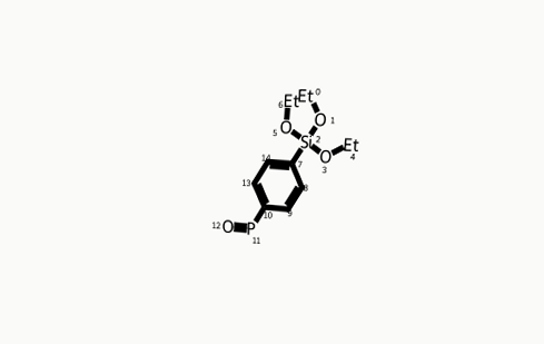 CCO[Si](OCC)(OCC)c1ccc(P=O)cc1